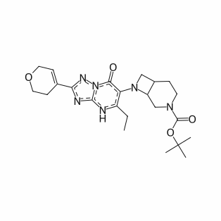 CCc1[nH]c2nc(C3=CCOCC3)nn2c(=O)c1N1CC2CCN(C(=O)OC(C)(C)C)CC21